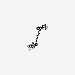 Cc1nnc2n1-c1sc(C#CCOCCOCCOCCNc3cccc4c3C(=O)N(C3CCC(=O)NC3O)C4=O)c(Cc3ccccc3)c1CO[C@H]2C